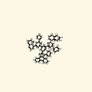 c1ccc(-c2cc(-c3cccc4cccnc34)nc(-c3cc(-c4nc(-c5ccccc5)cc(-c5cccc6cccnc56)n4)cc(-c4nc5c6ccccc6c6ccccc6c5n4-c4ccccc4)c3)n2)cc1